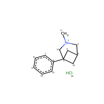 CN1CC2CC(c3ccccc3)(C2)C1.Cl